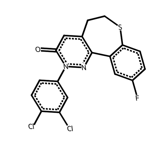 O=c1cc2c(nn1-c1ccc(Cl)c(Cl)c1)-c1cc(F)ccc1SCC2